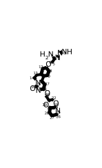 N=N/N=C(\N)COc1ccc2c(c1)CCn1c-2cc(OCC2COc3ncccc3O2)nc1=O